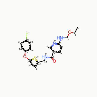 CCOCNc1ccc(C(=O)NCc2ccc(Oc3ccc(F)cc3)s2)cn1